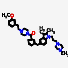 COc1cccc(CCN2CCN(C(=O)c3cccc(Cc4ccc5c(c4)c(C)c(C)n5CCCN4CCN(C)CC4)c3)CC2)c1